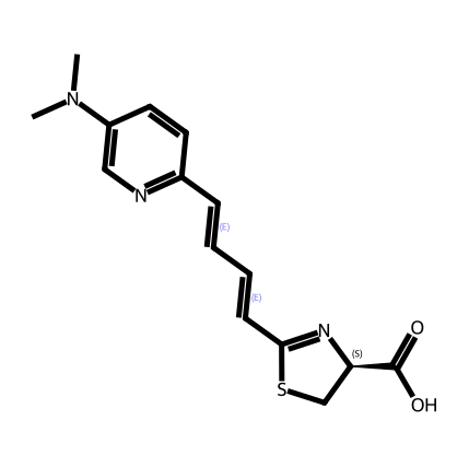 CN(C)c1ccc(/C=C/C=C/C2=N[C@@H](C(=O)O)CS2)nc1